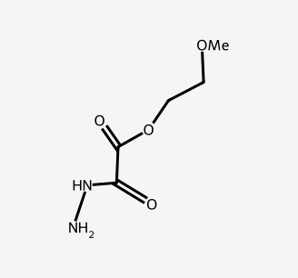 COCCOC(=O)C(=O)NN